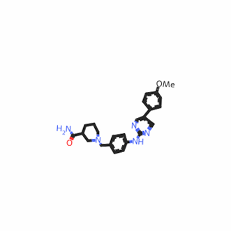 COc1ccc(-c2cnc(Nc3ccc(CN4CCCC(C(N)=O)C4)cc3)nc2)cc1